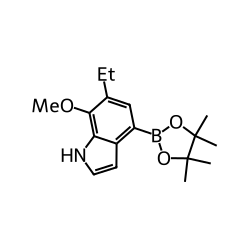 CCc1cc(B2OC(C)(C)C(C)(C)O2)c2cc[nH]c2c1OC